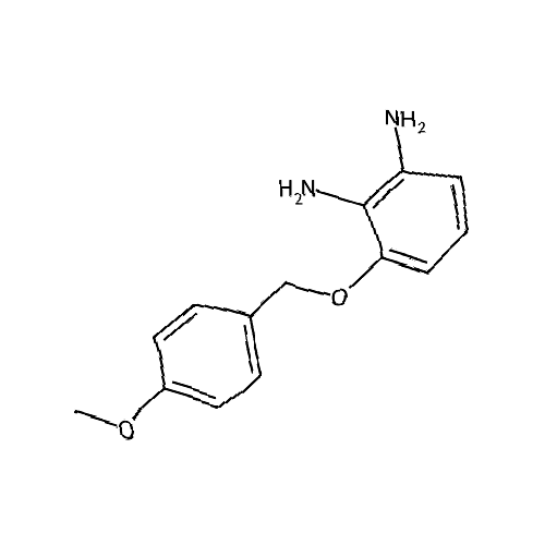 COc1ccc(COc2cccc(N)c2N)cc1